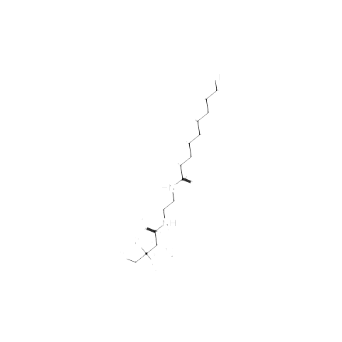 CCCCCCCCCC(=O)NCCNC(=O)[C@H](O)C(C)(C)CO